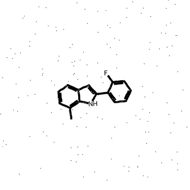 Cc1cccc2cc(-c3ccccc3F)[nH]c12